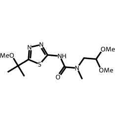 COC(CN(C)C(=O)Nc1nnc(C(C)(C)OC)s1)OC